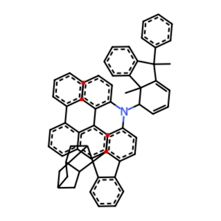 CC1(c2ccccc2)C2=CC=CC(N(c3ccc4c(c3)C3(c5ccccc5-4)C4CC5CC(C4)C3C5)c3ccccc3-c3cccc4cccc(-c5ccccc5)c34)C2(C)c2ccccc21